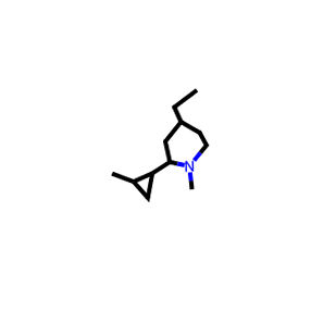 CCC1CCN(C)C(C2CC2C)C1